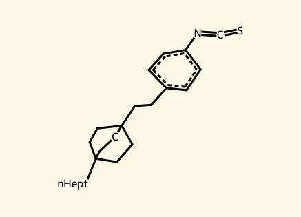 CCCCCCCC12CCC(CCc3ccc(N=C=S)cc3)(CC1)CC2